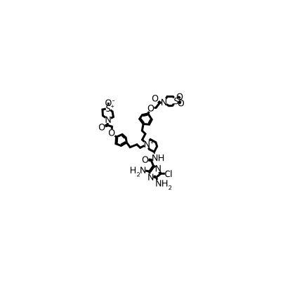 Nc1nc(N)c(C(=O)N[C@H]2CCC[N+](CCCc3ccc(OCC(=O)N4CC[S+]([O-])CC4)cc3)(CCCc3ccc(OCC(=O)N4CCS(=O)(=O)CC4)cc3)C2)nc1Cl